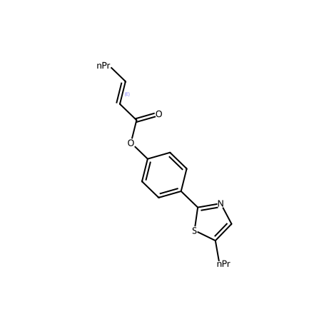 CCC/C=C/C(=O)Oc1ccc(-c2ncc(CCC)s2)cc1